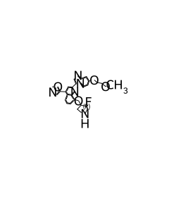 COCCOc1ccn2c(-c3cc(-c4cnco4)c4cccc(OC5CCNC[C@H]5F)c4n3)cnc2c1